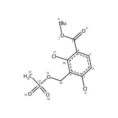 CC(C)(C)OC(=O)c1ccc(Cl)c(COS(C)(=O)=O)c1Cl